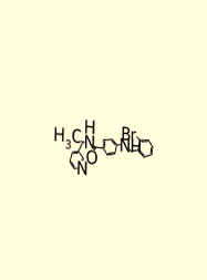 CC(NC(=O)c1ccc(NCc2ccccc2Br)cc1)c1cccnc1